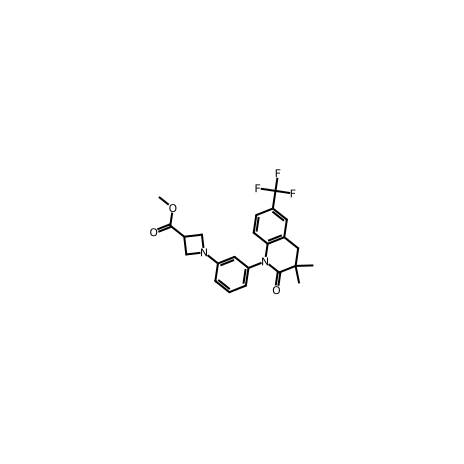 COC(=O)C1CN(c2cccc(N3C(=O)C(C)(C)Cc4cc(C(F)(F)F)ccc43)c2)C1